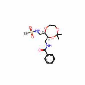 CCS(=O)(=O)NC[C@H]1OCCOC(C)(C)O[C@H]1CNC(=O)c1ccccc1